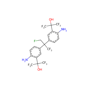 Nc1ccc(C(CF)(c2ccc(N)c(C(O)(C(F)(F)F)C(F)(F)F)c2)C(F)(F)F)cc1C(O)(C(F)(F)F)C(F)(F)F